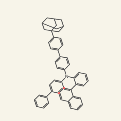 c1ccc(-c2ccc(N(c3ccc(-c4ccc(C56CC7CC(CC(C7)C5)C6)cc4)cc3)c3ccccc3-c3cccc4ccccc34)cc2)cc1